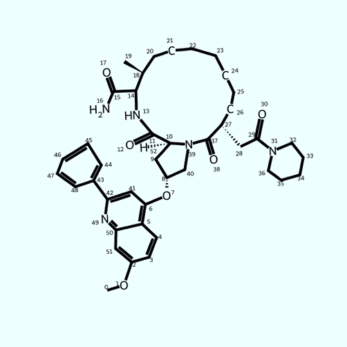 COc1ccc2c(O[C@@H]3C[C@H]4C(=O)NC(C(N)=O)[C@@H](C)CCCCCCC[C@H](CC(=O)N5CCCCC5)C(=O)N4C3)cc(-c3ccccc3)nc2c1